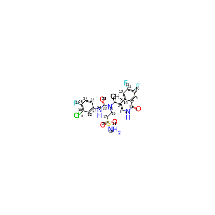 C[C@@H](c1c[nH]c(=O)c2cc(F)c(F)cc12)N(CCS(N)(=O)=O)C(=O)Nc1ccc(F)c(Cl)c1